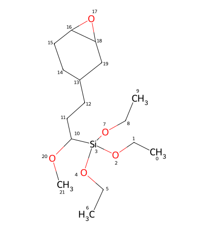 CCO[Si](OCC)(OCC)C(CCC1CCC2OC2C1)OC